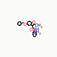 Cc1oc2ccc(OCc3ccccc3)cc2c1C(=O)NC1CC2CCC(C1)N2C